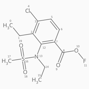 CCc1c(Cl)ccc(C(=O)OF)c1N(CC)S(C)(=O)=O